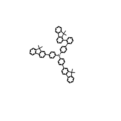 CC1(C)c2ccccc2-c2ccc(-c3ccc(N(c4ccc(-c5ccc6c(c5)C(C)(C)c5ccccc5-6)cc4)c4ccc(-c5ccccc5-c5cccc6c5C(C)(C)c5ccccc5-6)cc4)cc3)cc21